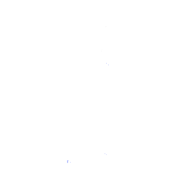 C=CCOc1ccc(NC2=CC=CN(CCCOc3cccc4c3CCN(C(=O)OC(C)(C)C)C4)C2)cc1